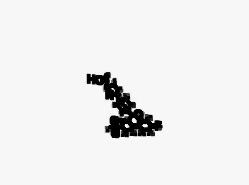 CC(O)c1ccc(N2CCN(C(=O)c3cc(S(C)(=O)=O)ccc3-c3ccc(F)cc3)CC2)nc1